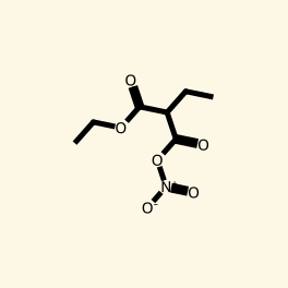 CCOC(=O)C(CC)C(=O)O[N+](=O)[O-]